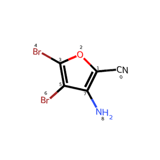 N#Cc1oc(Br)c(Br)c1N